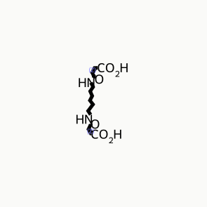 O=C(O)/C=C\C(=O)NCCCCCCCNC(=O)/C=C\C(=O)O